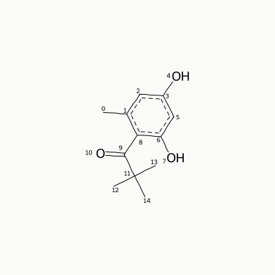 Cc1cc(O)cc(O)c1C(=O)C(C)(C)C